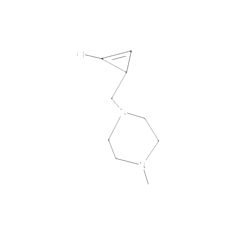 CN1CCN(C[C@]2(C)C=C2Cl)CC1